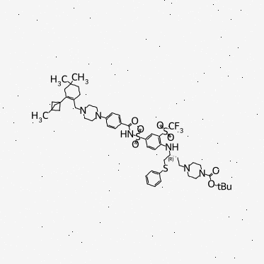 CC1(C)CCC(CN2CCN(c3ccc(C(=O)NS(=O)(=O)c4ccc(N[C@H](CCN5CCN(C(=O)OC(C)(C)C)CC5)CSc5ccccc5)c(S(=O)(=O)C(F)(F)F)c4)cc3)CC2)=C(C23CC(C)(C2)C3)C1